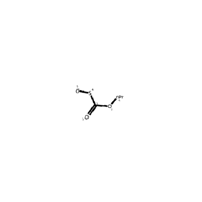 CCCOC(=O)SCl